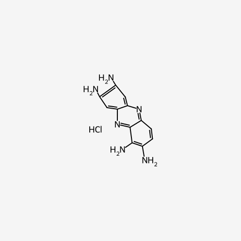 Cl.Nc1cc2nc3ccc(N)c(N)c3nc2cc1N